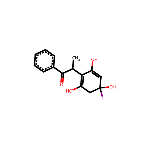 CC(C(=O)c1ccccc1)C1=C(O)CC(O)(I)C=C1O